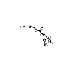 CCCCCCCCOC(=O)C=C[SiH](C)OCC